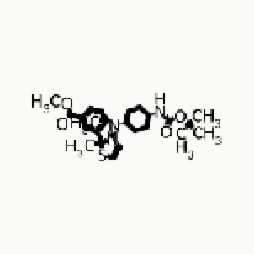 CCN([C@H]1CC[C@H](NC(=O)OC(C)(C)C)CC1)N1C=CSC1(C)c1cccc(C(=O)OC)c1